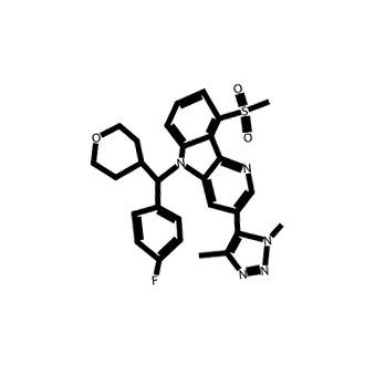 Cc1nnn(C)c1-c1cnc2c3c(S(C)(=O)=O)cccc3n(C(c3ccc(F)cc3)C3CCOCC3)c2c1